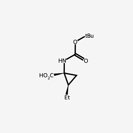 CC[C@@H]1C[C@]1(NC(=O)OC(C)(C)C)C(=O)O